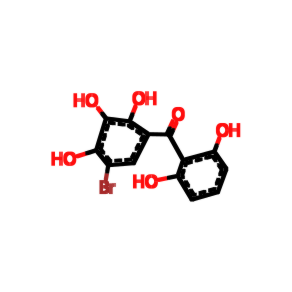 O=C(c1cc(Br)c(O)c(O)c1O)c1c(O)cccc1O